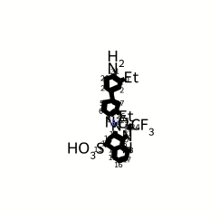 CCc1cc(-c2ccc(/N=N/c3cc(S(=O)(=O)O)c4ccccc4c3NC(=O)C(F)(F)F)c(CC)c2)ccc1N